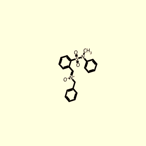 CN(c1ccccc1)S(=O)(=O)c1ccccc1/C=[N+](\[O-])Cc1ccccc1